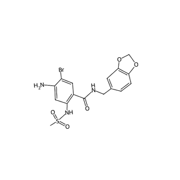 CS(=O)(=O)Nc1cc(N)c(Br)cc1C(=O)NCc1ccc2c(c1)OCO2